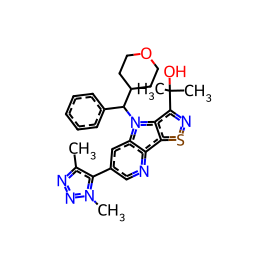 Cc1nnn(C)c1-c1cnc2c3snc(C(C)(C)O)c3n(C(c3ccccc3)C3CCOCC3)c2c1